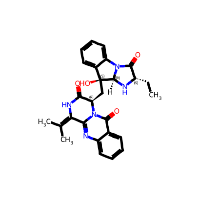 CC[C@@H]1N[C@@H]2N(C1=O)c1ccccc1[C@@]2(O)C[C@@H]1C(=O)NC(=C(C)C)c2nc3ccccc3c(=O)n21